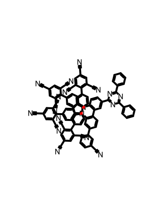 N#Cc1cccc(-c2ccc(-c3cc(-c4nc(-c5ccccc5)nc(-c5ccccc5)n4)ccc3-n3c4ccc(-c5c(C#N)cc(C#N)cc5C#N)cc4c4cc(-c5c(C#N)cc(C#N)cc5C#N)ccc43)c(-n3c4ccc(-c5c(C#N)cc(C#N)cc5C#N)cc4c4cc(-c5c(C#N)cc(C#N)cc5C#N)ccc43)c2)c1